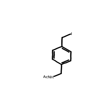 CC(=O)NCc1ccc(CI)cc1